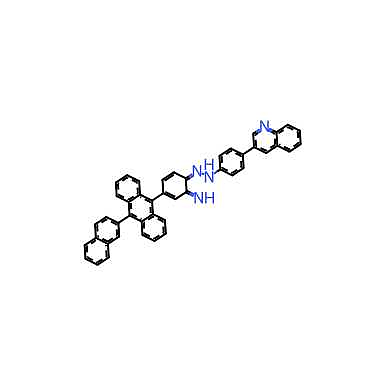 N=C1C=C(c2c3ccccc3c(-c3ccc4ccccc4c3)c3ccccc23)C=C/C1=N/Nc1ccc(-c2cnc3ccccc3c2)cc1